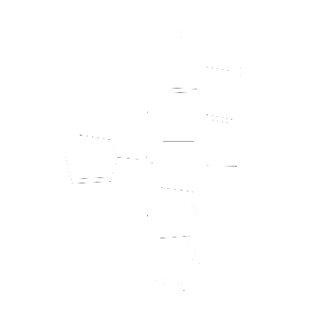 CC(C)c1ccc(N(c2ccccc2)c2ccc3ccccc3c2)c2ccccc12